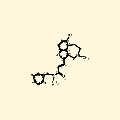 CN1CCc2c(Cl)ccc3oc(/C=C/C(=O)N(C)Cc4ccccc4)c(c23)C1